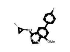 COc1cc(-c2ccc(F)cc2)cc2c(N[C@H]3C[C@@H]3C)ncnc12